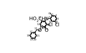 Cc1ccc(Cl)cc1Nc1c(C(=O)O)cn(OCc2ccccc2)c(=O)c1Cl